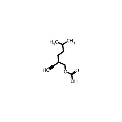 C#CC(CCC(C)C)COC(=O)O